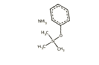 C[Si](C)(C)Oc1ccccc1.N